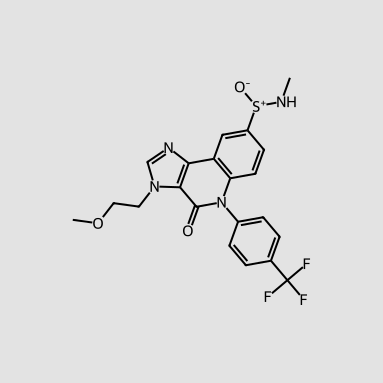 CN[S+]([O-])c1ccc2c(c1)c1ncn(CCOC)c1c(=O)n2-c1ccc(C(F)(F)F)cc1